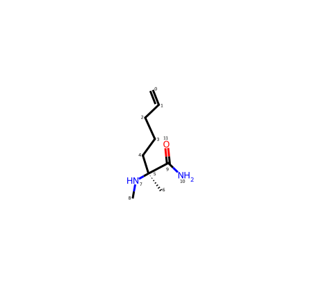 C=CCCC[C@](C)(NC)C(N)=O